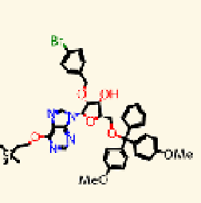 COc1ccc(C(OC[C@H]2O[C@@H](n3cnc4c(OCC[Si](C)(C)C)ncnc43)[C@H](OCc3ccc(Br)cc3)[C@@H]2O)(c2ccccc2)c2ccc(OC)cc2)cc1